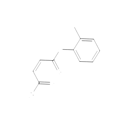 Cc1ccccc1OC(=O)/C=C\C(N)=O